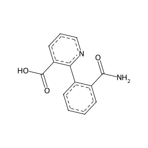 NC(=O)c1ccccc1-c1ncccc1C(=O)O